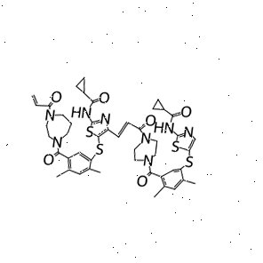 C=CC(=O)N1CCCN(C(=O)c2cc(Sc3sc(NC(=O)C4CC4)nc3C=CC(=O)N3CCN(C(=O)c4cc(Sc5cnc(NC(=O)C6CC6)s5)c(C)cc4C)CC3)c(C)cc2C)CC1